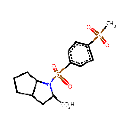 CS(=O)(=O)c1ccc(S(=O)(=O)N2C(C(=O)O)CC3CCCC32)cc1